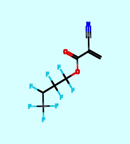 C=C(C#N)C(=O)OC(F)(F)C(F)(F)C(F)C(F)(F)F